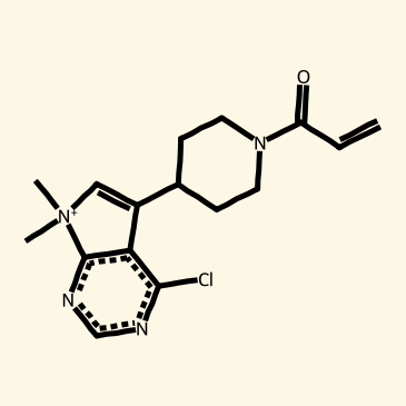 C=CC(=O)N1CCC(C2=C[N+](C)(C)c3ncnc(Cl)c32)CC1